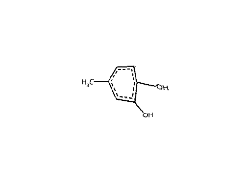 Cc1c[c]c(O)c(O)c1